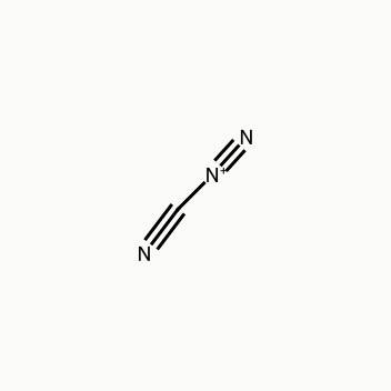 N#C[N+]#N